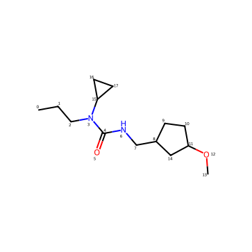 CCCN(C(=O)NCC1CCC(OC)C1)C1CC1